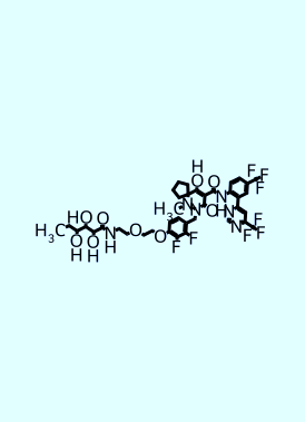 CCC(O)C(O)C(O)C(=O)NCCOCCOc1ccc(CN2C(=O)C(C(=O)Nc3ccc(C(F)(F)F)cc3-c3cc(C(F)(F)F)ncn3)=C(O)C3(CCCC3)N2C)c(F)c1F